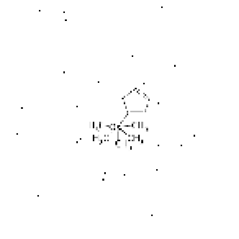 [CH3][Os]([CH3])([CH3])([CH3])([CH3])[C]1=CC=CC1